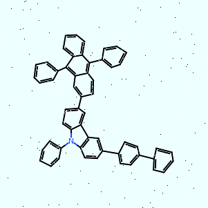 c1ccc(-c2ccc(-c3ccc4c(c3)c3cc(-c5ccc6c(-c7ccccc7)c7ccccc7c(-c7ccccc7)c6c5)ccc3n4-c3ccccc3)cc2)cc1